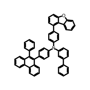 c1ccc(-c2cccc(N(c3ccc(-c4c(-c5ccccc5)c5ccccc5c5ccccc45)cc3)c3ccc(-c4cccc5oc6ccccc6c45)cc3)c2)cc1